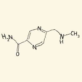 CNCc1cnc(C(N)=O)cn1